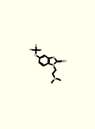 CN(C)CCn1c(=N)sc2cc(OC(F)(F)F)ccc21